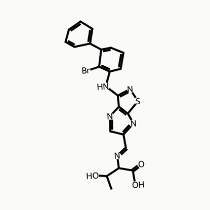 CC(O)C(N=Cc1cnc2c(Nc3cccc(-c4ccccc4)c3Br)nsc2n1)C(=O)O